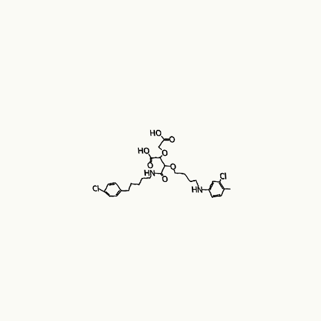 Cc1ccc(NCCCCOC(C(=O)NCCCCCc2ccc(Cl)cc2)C(OCC(=O)O)C(=O)O)cc1Cl